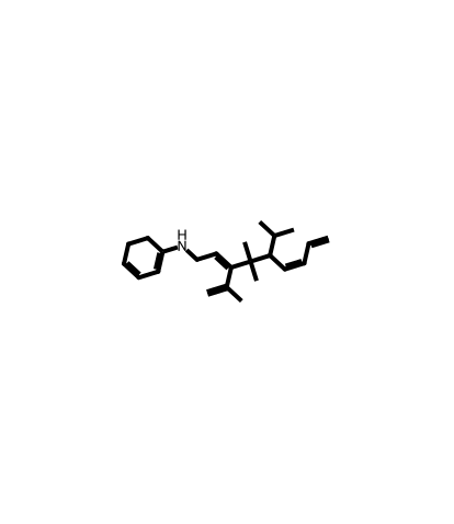 C=C/C=C\C(C(C)C)C(C)(C)/C(=C/CNC1=CC=CCC1)C(=C)C